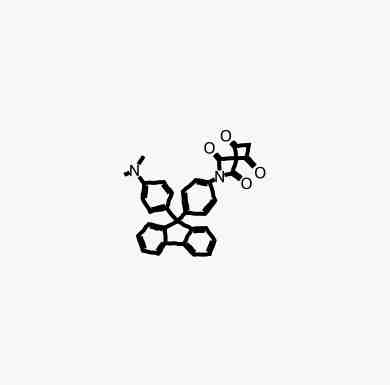 CN(C)c1ccc(C2(c3ccc(N4C(=O)C5(C(=O)CC5=O)C4=O)cc3)c3ccccc3-c3ccccc32)cc1